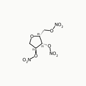 O=[N+]([O-])OC[C@H]1OC[C@H](O[N+](=O)[O-])[C@H]1O[N+](=O)[O-]